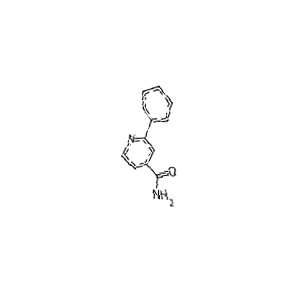 NC(=O)c1ccnc(-c2ccccc2)c1